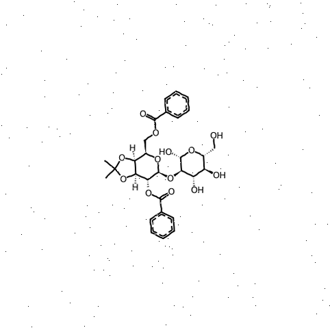 CC1(C)O[C@H]2[C@@H](O1)[C@@H](COC(=O)c1ccccc1)O[C@@H](O[C@@H]1[C@@H](O)[C@H](O)[C@@H](CO)O[C@H]1O)[C@@H]2OC(=O)c1ccccc1